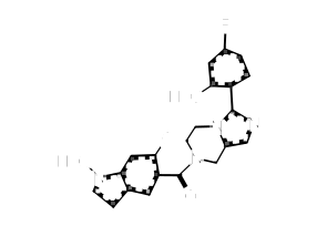 Cc1cc(F)ccc1-c1ncc2n1CCN(C(=O)c1cc3ccn(C)c3cc1Cl)C2